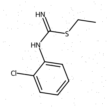 CCSC(=N)Nc1ccccc1Cl